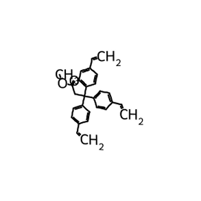 C=Cc1ccc(C(CC(=O)OC)(c2ccc(C=C)cc2)c2ccc(C=C)cc2)cc1